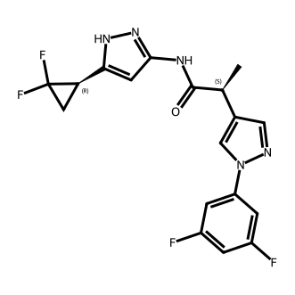 C[C@H](C(=O)Nc1cc([C@H]2CC2(F)F)[nH]n1)c1cnn(-c2cc(F)cc(F)c2)c1